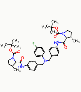 C[C@H]1CCN(C(=O)OC(C)(C)C)[C@@H]1C(=O)Nc1ccc(CN(Cc2ccc(NC(=O)[C@@H]3[C@@H](C)CCN3C(=O)OC(C)(C)C)cc2)c2ccc(F)cc2)cc1